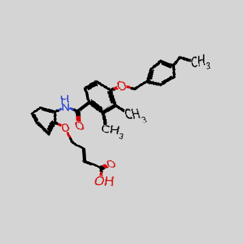 CCc1ccc(COc2ccc(C(=O)Nc3ccccc3OCCCC(=O)O)c(C)c2C)cc1